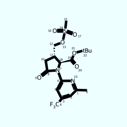 Cc1cc(C(F)(F)F)cc(N2C(=O)C[C@H](COS(C)(=O)=O)[C@H]2C(=O)OC(C)(C)C)n1